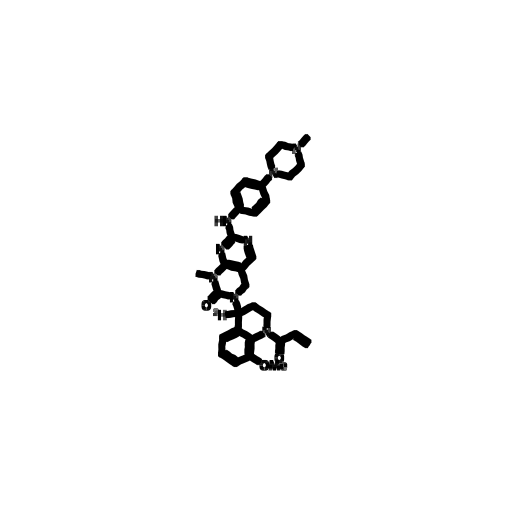 [2H]C1(N2Cc3cnc(Nc4ccc(N5CCN(C)CC5)cc4)nc3N(C)C2=O)CCN(C(=O)C=C)c2c(OC)cccc21